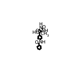 CC1(C(O)c2ccc(NC(=O)c3ccccc3)cc2)NC(=O)NC1=O